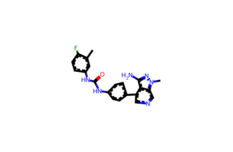 Cc1cc(NC(=O)Nc2ccc(-c3cncc4c3c(N)nn4C)cc2)ccc1F